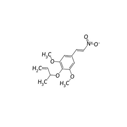 C=CC(C)Oc1c(OC)cc(C=C[N+](=O)[O-])cc1OC